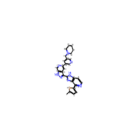 Cc1ccc(-c2nccc3[nH]c(-c4n[nH]c5cnc(-c6cncc(CN7CCCCC7)c6)cc45)nc23)s1